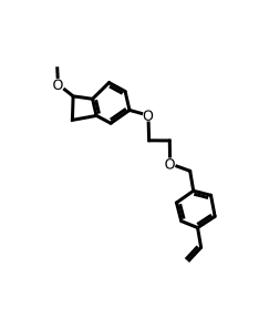 C=Cc1ccc(COCCOc2ccc3c(c2)CC3OC)cc1